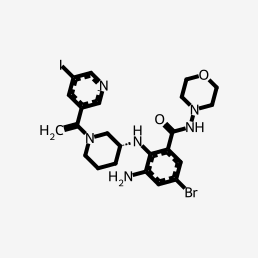 C=C(c1cncc(I)c1)N1CCC[C@@H](Nc2c(N)cc(Br)cc2C(=O)NN2CCOCC2)C1